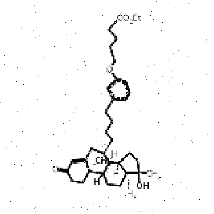 CCOC(=O)CCCCOc1cccc(CCCC[C@@H]2CC3=CC(=O)CC[C@]3(C)[C@H]3CC[C@@]4(C)[C@@H](CC[C@]4(C)O)[C@H]23)c1